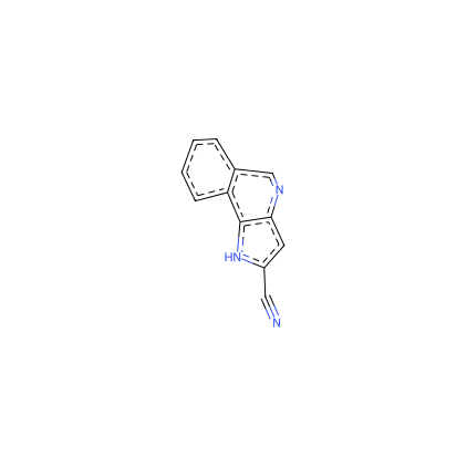 N#Cc1cc2ncc3ccccc3c2[nH]1